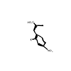 CC(=Cc1ccc([N+](=O)[O-])cc1F)C(=O)O